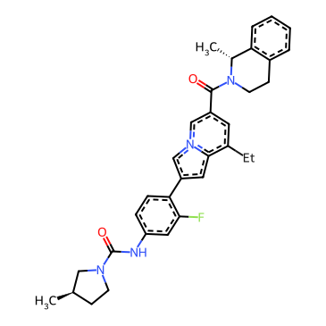 CCc1cc(C(=O)N2CCc3ccccc3[C@H]2C)cn2cc(-c3ccc(NC(=O)N4CC[C@@H](C)C4)cc3F)cc12